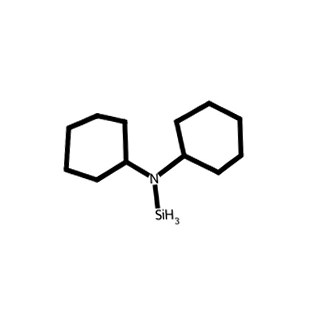 [SiH3]N(C1CCCCC1)C1CCCCC1